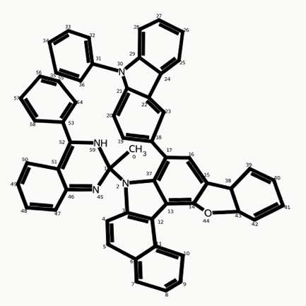 CC1(n2c3ccc4ccccc4c3c3c4c(cc(-c5ccc6c(c5)c5ccccc5n6-c5ccccc5)c32)C2C=CC=CC2O4)N=c2ccccc2=C(c2ccccc2)N1